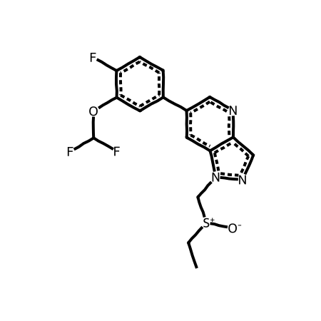 CC[S+]([O-])Cn1ncc2ncc(-c3ccc(F)c(OC(F)F)c3)cc21